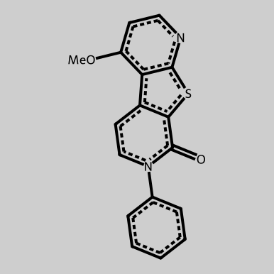 COc1ccnc2sc3c(=O)n(-c4ccccc4)ccc3c12